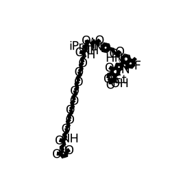 CC[C@@]1(O)C(=O)OCC2=C1C=C1c3nc4cc(F)c(C)c5c4c(c3CC1C2=O)[C@@H](NC(=O)OCc1ccc(NC(=O)[C@H](C)NC(=O)[C@@H](NC(=O)CCOCCOCCOCCOCCOCCOCCOCCOCCNC(=O)CCN2C(=O)C=CC2=O)C(C)C)cc1)CC5